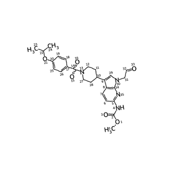 COC(=O)Nc1ccc2c(C3CCN(S(=O)(=O)c4ccc(OC(C)C)cc4)CC3)cn(CC=O)c2n1